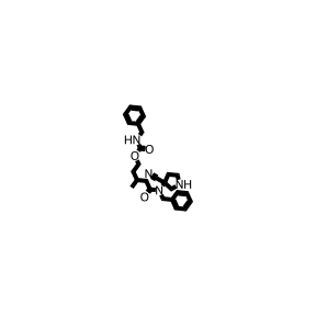 CC(CCOC(=O)NCc1ccccc1)CC(=O)N(Cc1ccccc1)C1(C#N)CCNC1